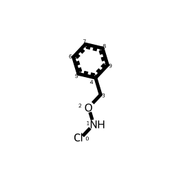 ClNOCc1ccccc1